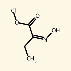 CCC(=NO)C(=O)OCl